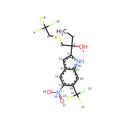 CCC(O)(CSCC(F)(F)F)c1cc2cc([N+](=O)[O-])c(C(F)(F)F)cc2[nH]1